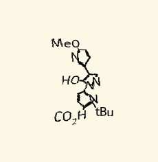 COc1ccc(-c2cnn(-c3ccc(C(=O)O)c(C(C)(C)C)n3)c2O)cn1